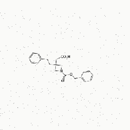 O=C(O)CC1(CCc2ccccc2)CN(C(=O)OCc2ccccc2)C1